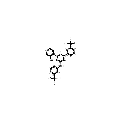 Nc1cnccc1-c1nc(Nc2ccnc(C(F)(F)F)c2)nc(-c2cccc(C(F)(F)F)n2)n1